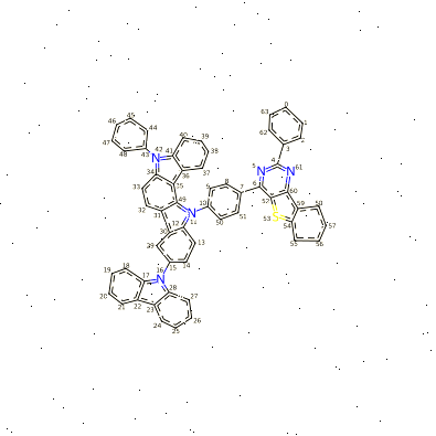 c1ccc(-c2nc(-c3ccc(-n4c5ccc(-n6c7ccccc7c7ccccc76)cc5c5ccc6c(c7ccccc7n6-c6ccccc6)c54)cc3)c3sc4ccccc4c3n2)cc1